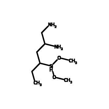 CCC(CC(N)CN)[SiH](OC)OC